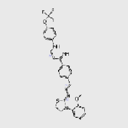 COc1ccccc1N1CCS/C1=N\N=C\c1ccc(C(=N)/N=C\Nc2ccc(OC(F)(F)F)cc2)cc1